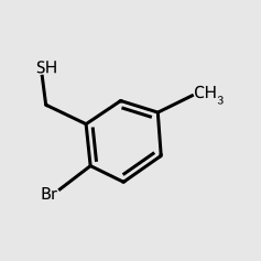 Cc1ccc(Br)c(CS)c1